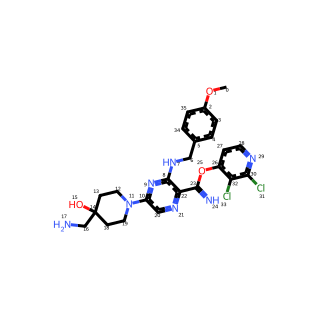 COc1ccc(CNc2nc(N3CCC(O)(CN)CC3)cnc2C(=N)Oc2ccnc(Cl)c2Cl)cc1